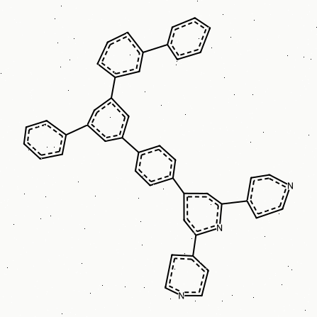 c1ccc(-c2cccc(-c3cc(-c4ccccc4)cc(-c4ccc(-c5cc(-c6ccncc6)nc(-c6ccncc6)c5)cc4)c3)c2)cc1